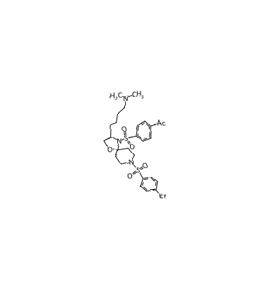 CCc1ccc(S(=O)(=O)N2CCC3(CC2)OCC(CCCCN(C)C)N3S(=O)(=O)c2ccc(C(C)=O)cc2)cc1